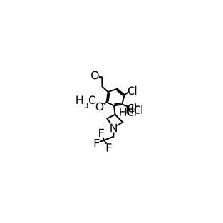 COc1c(CC=O)cc(Cl)c(Cl)c1C1CN(CC(F)(F)F)C1.Cl.Cl